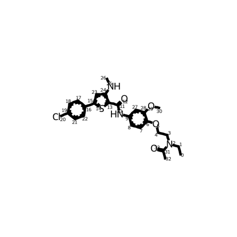 CCN(CCOc1ccc(NC(=O)c2sc(-c3ccc(Cl)cc3)cc2NC)cc1OC)C(C)=O